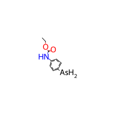 CCOC(=O)Nc1ccc([AsH2])cc1